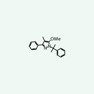 COc1c(C)c(-c2ccccc2)nn1C(C)(C)c1ccccc1